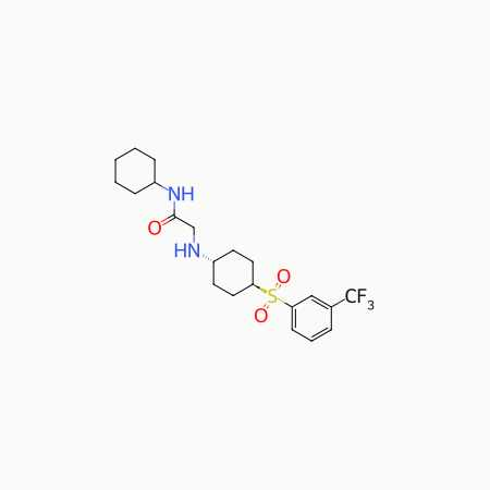 O=C(CN[C@H]1CC[C@H](S(=O)(=O)c2cccc(C(F)(F)F)c2)CC1)NC1CCCCC1